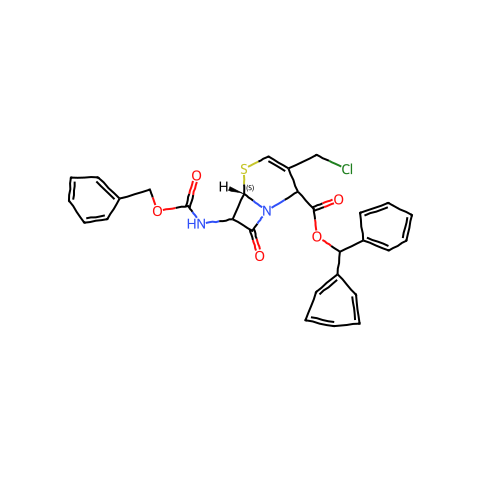 O=C(NC1C(=O)N2C(C(=O)OC(c3ccccc3)c3ccccc3)C(CCl)=CS[C@@H]12)OCc1ccccc1